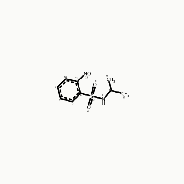 CC(NS(=O)(=O)c1ccccc1N=O)C(F)(F)F